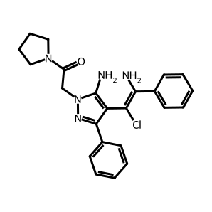 N/C(=C(/Cl)c1c(-c2ccccc2)nn(CC(=O)N2CCCC2)c1N)c1ccccc1